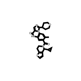 Cc1cc2c(cc1C(=O)N1CCc3sccc3C1C1CC1)[nH]c(=O)c1cnc(C3CCOCC3)n12